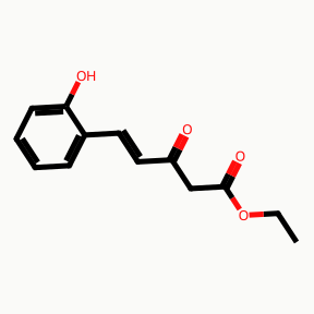 CCOC(=O)CC(=O)/C=C/c1ccccc1O